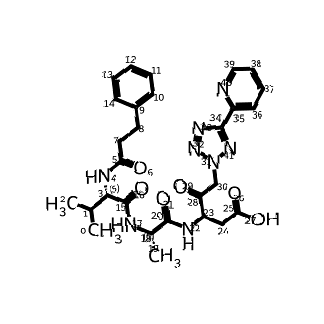 CC(C)[C@H](NC(=O)CCc1ccccc1)C(=O)N[C@@H](C)C(=O)NC(CC(=O)O)C(=O)Cn1nnc(-c2ccccn2)n1